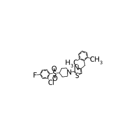 Cc1cccc(C)c1Cc1csc(N2CCC(S(=O)(=O)c3ccc(F)cc3Cl)CC2)n1